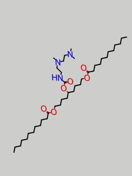 CCCCCCCCCCCC(=O)OCCCCC(CCCCOC(=O)CCCCCCCCCCC)OC(=O)NCCN(C)CCN(C)C